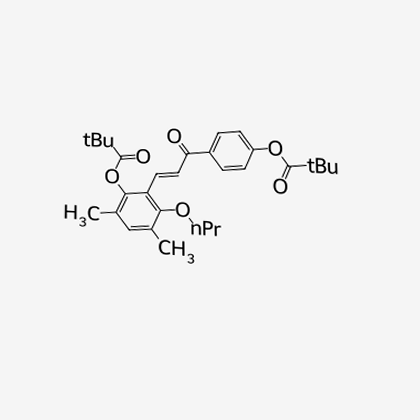 CCCOc1c(C)cc(C)c(OC(=O)C(C)(C)C)c1C=CC(=O)c1ccc(OC(=O)C(C)(C)C)cc1